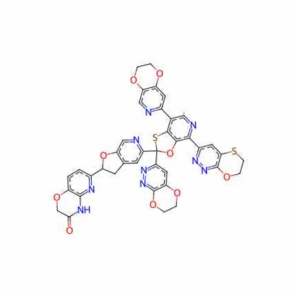 O=C1COc2ccc(C3Cc4cc(C5(c6cc7c(nn6)OCCO7)Oc6c(-c7cc8c(nn7)OCCS8)n[c]c(-c7cc8c(cn7)OCCO8)c6S5)ncc4O3)nc2N1